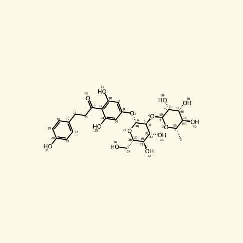 C[C@@H]1O[C@@H](O[C@@H]2[C@@H](Oc3cc(O)c(C(=O)CCc4ccc(O)cc4)c(O)c3)O[C@@H](CO)[C@H](O)[C@H]2O)[C@H](O)[C@H](O)[C@H]1O